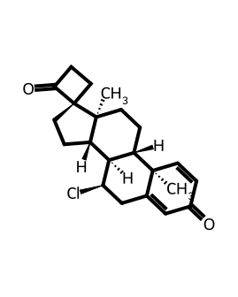 C[C@]12C=CC(=O)C=C1C[C@@H](Cl)[C@@H]1[C@@H]2CC[C@@]2(C)[C@H]1CC[C@@]21CCC1=O